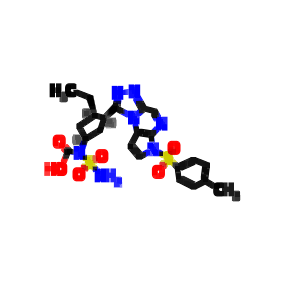 CC[C@@H]1C[C@H](N(C(=O)O)S(N)(=O)=O)C[C@@H]1c1nnc2cnc3c(ccn3S(=O)(=O)c3ccc(C)cc3)n12